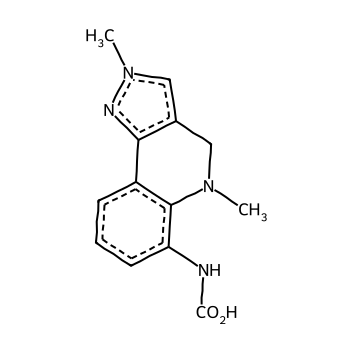 CN1Cc2cn(C)nc2-c2cccc(NC(=O)O)c21